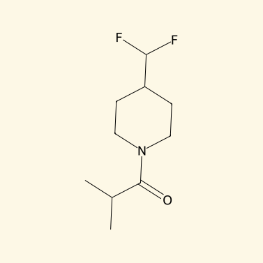 CC(C)C(=O)N1CCC(C(F)F)CC1